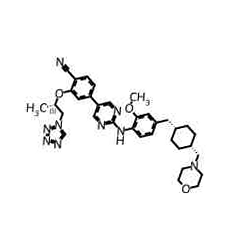 COc1cc(C[C@H]2CC[C@@H](CN3CCOCC3)CC2)ccc1Nc1ncc(-c2ccc(C#N)c(O[C@@H](C)Cn3cnnn3)c2)cn1